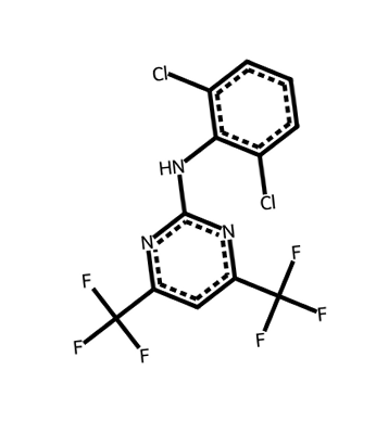 FC(F)(F)c1cc(C(F)(F)F)nc(Nc2c(Cl)cccc2Cl)n1